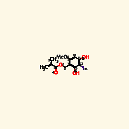 C=C(C)C(=O)OCc1c(OC)cc(O)c(I)c1O